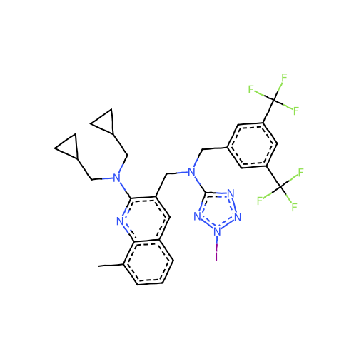 Cc1cccc2cc(CN(Cc3cc(C(F)(F)F)cc(C(F)(F)F)c3)c3nnn(I)n3)c(N(CC3CC3)CC3CC3)nc12